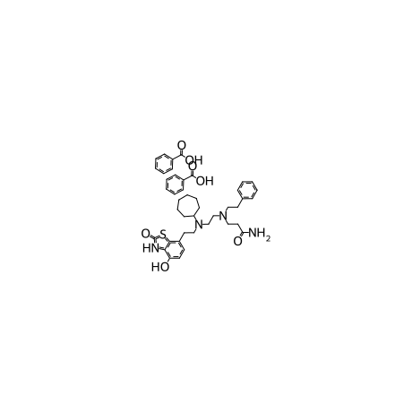 NC(=O)CCN(CCc1ccccc1)CCN(CCc1ccc(O)c2[nH]c(=O)sc12)C1CCCCCC1.O=C(O)c1ccccc1.O=C(O)c1ccccc1